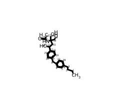 CCCCc1ccc(Cc2ccc(C(O)CC(CO)(CO)NC(C)=O)cc2)cc1